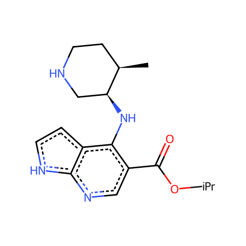 CC(C)OC(=O)c1cnc2[nH]ccc2c1N[C@H]1CNCC[C@H]1C